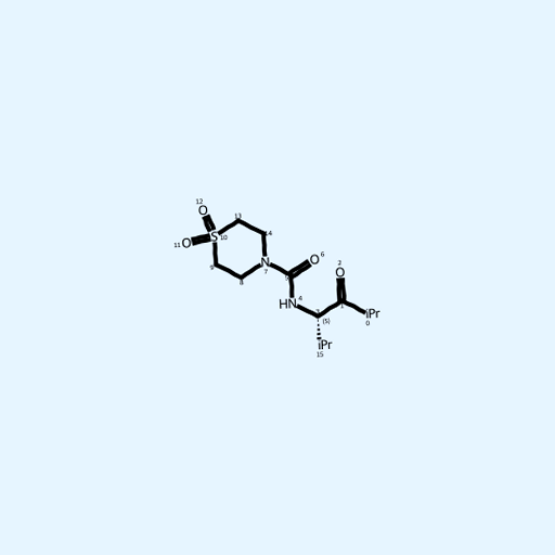 CC(C)C(=O)[C@@H](NC(=O)N1CCS(=O)(=O)CC1)C(C)C